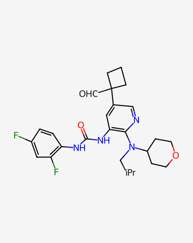 CC(C)CN(c1ncc(C2(C=O)CCC2)cc1NC(=O)Nc1ccc(F)cc1F)C1CCOCC1